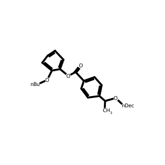 CCCCCCCCCCOC(C)c1ccc(C(=O)Oc2ccccc2OCCCC)cc1